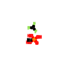 O=P(O)(O)O.[F][Al]([F])[F].[KH]